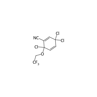 N#CC1=CC(Cl)(Cl)C=CC1(Cl)OCC(F)(F)F